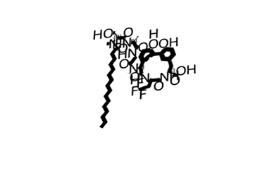 CCCCCCCCCCCCCCCC(=O)N(C)[C@H](CO)C(=O)N[C@H](C)C(=O)NCC(=O)N(C)[C@@H]1C(=O)NC(CC(F)(F)F)C(=O)N[C@H](C(=O)O)Cc2ccc(O)c(c2)-c2cc1ccc2O